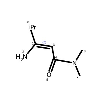 CC(C)/C(N)=C/C(=O)N(C)C